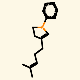 CC(C)=CCCC1=CP(c2ccccc2)CC1